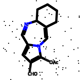 CC(=O)Oc1c(C=O)cc2n1C=C1CCCCC1N=C2